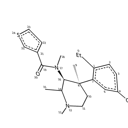 CCc1ccc(O)cc1[C@@]1(C)CCN(C)C(C)[C@H]1N(C)C(=O)c1ccsc1